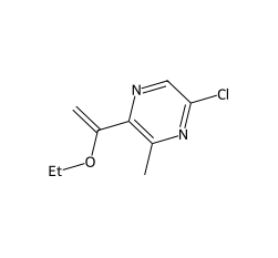 C=C(OCC)c1ncc(Cl)nc1C